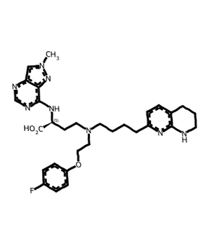 Cn1cc2ncnc(N[C@@H](CCN(CCCCc3ccc4c(n3)NCCC4)CCOc3ccc(F)cc3)C(=O)O)c2n1